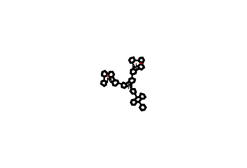 c1ccc(-c2ccccc2-n2c3ccccc3c3cc(-c4ccc5c(c4)c4cc(-c6ccc7c(c6)c6ccccc6n7-c6ccccc6-c6ccccc6)ccc4n5-c4ccc(-c5c6ccccc6c(-c6ccccc6)c6ccccc56)cc4)ccc32)cc1